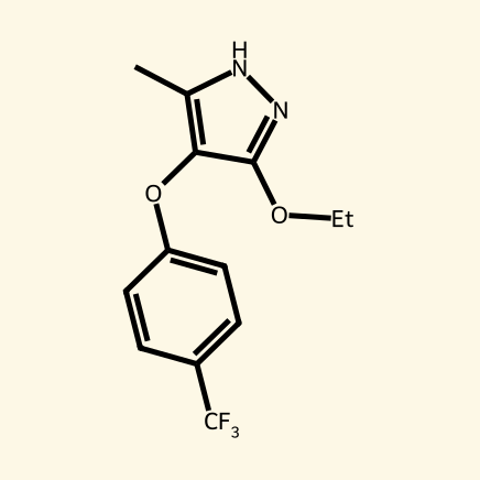 CCOc1n[nH]c(C)c1Oc1ccc(C(F)(F)F)cc1